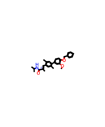 COc1cc(-c2cc(C)c(/C=C(\C)C(=O)NC(C)C)cc2C)ccc1OCc1ccccc1